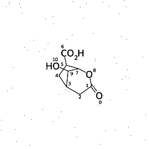 O=C1CC2CC(C(=O)O)C(O1)C2O